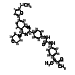 CCc1ccc(-c2ccc3c(N4CCOCC4)nc(-c4ccc(NC(=O)Nc5ccc(N(C)C(C)=O)cc5)cc4)nc3c2)o1